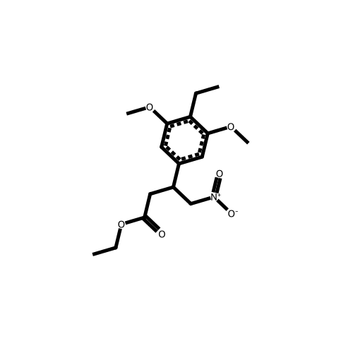 CCOC(=O)CC(C[N+](=O)[O-])c1cc(OC)c(CC)c(OC)c1